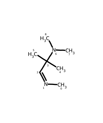 C/N=C\C(C)(C)N(C)C